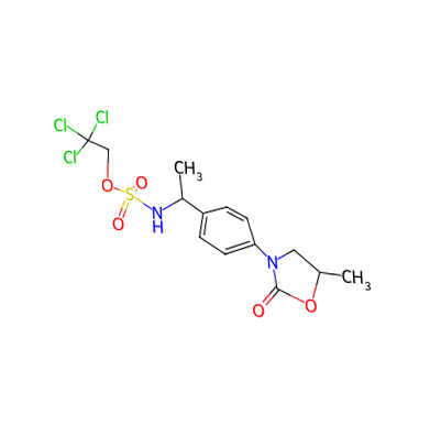 CC1CN(c2ccc(C(C)NS(=O)(=O)OCC(Cl)(Cl)Cl)cc2)C(=O)O1